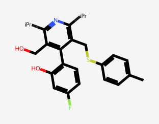 Cc1ccc(SCc2c(C(C)C)nc(C(C)C)c(CO)c2-c2ccc(F)cc2O)cc1